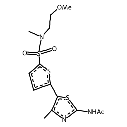 COCCN(C)S(=O)(=O)c1ccc(-c2sc(NC(C)=O)nc2C)s1